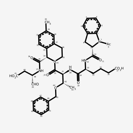 CC(=O)N1c2ccccc2C[C@H]1C(=O)N[C@@H](CCCC(=O)O)C(=O)N[C@H](C(=O)N1CCc2cc(C)ccc2[C@H]1C(=O)N[C@H](C=O)CC(=O)O)[C@H](C)OCc1ccccc1